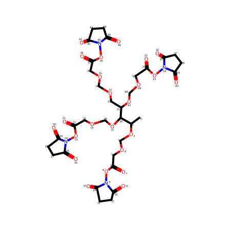 CC(OCOCC(=O)ON1C(=O)CCC1=O)C(OCOCC(=O)ON1C(=O)CCC1=O)C(COCOCC(=O)ON1C(=O)CCC1=O)OCOCC(=O)ON1C(=O)CCC1=O